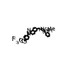 CSC(N=NC=c1ccc2c(c1)C=CC1C=2N=CN1c1ccc(OC(F)(F)F)cc1)=Nc1ccccc1C(C)C